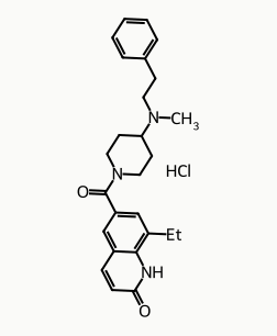 CCc1cc(C(=O)N2CCC(N(C)CCc3ccccc3)CC2)cc2ccc(=O)[nH]c12.Cl